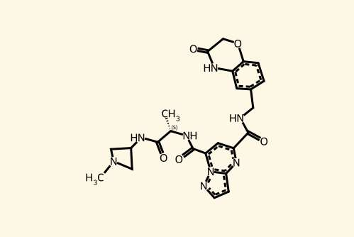 C[C@H](NC(=O)c1cc(C(=O)NCc2ccc3c(c2)NC(=O)CO3)nc2ccnn12)C(=O)NC1CN(C)C1